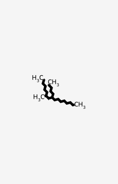 CCCCCCCCC([CH]C(C)CCCCCC)CCCCC